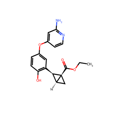 CCOC(=O)[C@@]12C[C@H]1[C@H]2c1cc(Oc2ccnc(N)c2)ccc1O